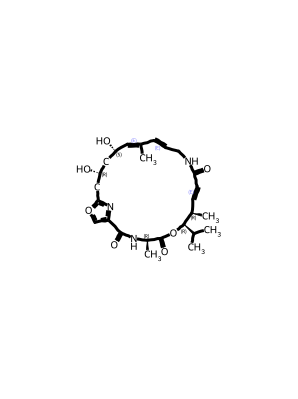 CC1=C\[C@@H](O)C[C@@H](O)Cc2nc(co2)C(=O)N[C@H](C)C(=O)O[C@H](C(C)C)[C@H](C)/C=C/C(=O)NC\C=C\1